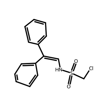 O=S(=O)(CCl)NC=C(c1ccccc1)c1ccccc1